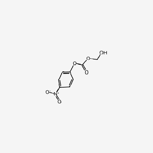 O=C(OCO)Oc1ccc([N+](=O)[O-])cc1